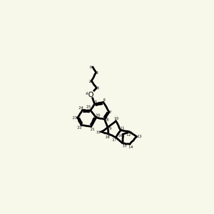 CCCCOc1ccc(C23CC4C5CCC(C5)C4C2C3)c2ccccc12